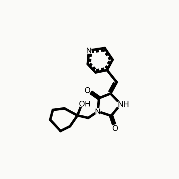 O=C1NC(=Cc2ccncc2)C(=O)N1CC1(O)CCCCC1